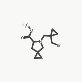 COC(=O)C1CC2(CC2)CN1CC1(CBr)CC1